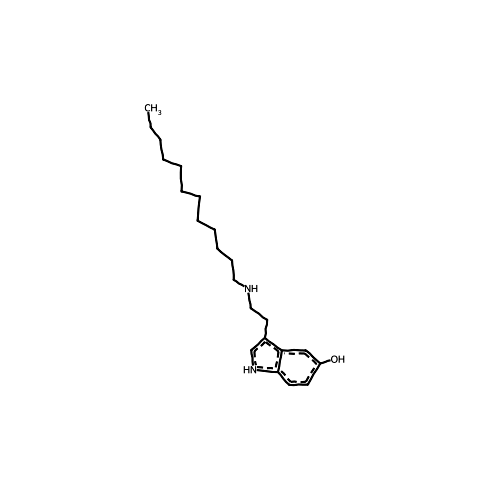 CCCCCCCCCCCCNCCc1c[nH]c2ccc(O)cc12